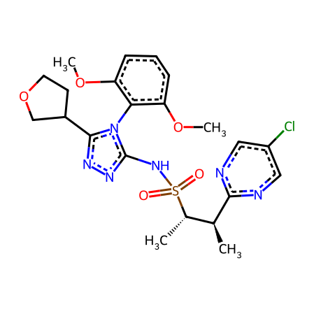 COc1cccc(OC)c1-n1c(NS(=O)(=O)[C@@H](C)[C@H](C)c2ncc(Cl)cn2)nnc1C1CCOC1